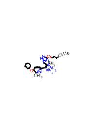 COCCCOc1nnn(C/C(=C(/N)c2ccc(OC3CCCCC3)c(C)n2)N(C)N)n1